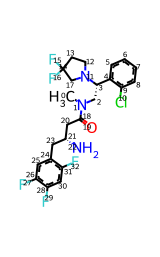 CN(C[C@@H](c1ccccc1Cl)N1CCC(F)(F)C1)C(=O)C[C@H](N)Cc1cc(F)c(F)cc1F